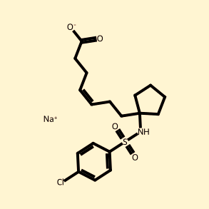 O=C([O-])CC/C=C\CCC1(NS(=O)(=O)c2ccc(Cl)cc2)CCCC1.[Na+]